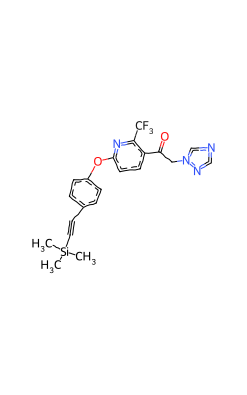 C[Si](C)(C)C#Cc1ccc(Oc2ccc(C(=O)Cn3cncn3)c(C(F)(F)F)n2)cc1